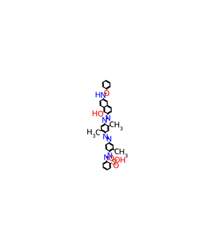 Cc1cc(N=Nc2ccc3cc(NOc4ccccc4)ccc3c2O)c(C)cc1N=Nc1ccc(N=Nc2ccccc2S(=O)(=O)O)c(C)c1